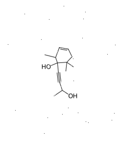 CC(O)C#CC1(O)C(C)C=CCC1(C)C